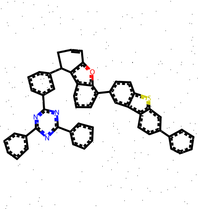 C1=Cc2oc3c(-c4ccc5sc6cc(-c7ccccc7)ccc6c5c4)cccc3c2C(c2cccc(-c3nc(-c4ccccc4)nc(-c4ccccc4)n3)c2)C1